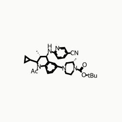 CC(=O)N1c2ccc(N3CCN(C(=O)OC(C)(C)C)[C@@H](C)C3)cc2[C@H](Nc2ccc(C#N)cn2)[C@@H](C)C1C1CC1